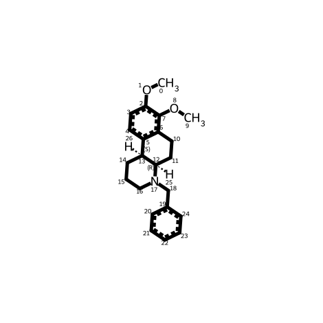 COc1ccc2c(c1OC)CC[C@@H]1[C@H]2CCCN1Cc1ccccc1